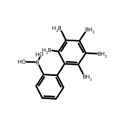 Bc1c(B)c(B)c(-c2ccccc2B(O)O)c(B)c1B